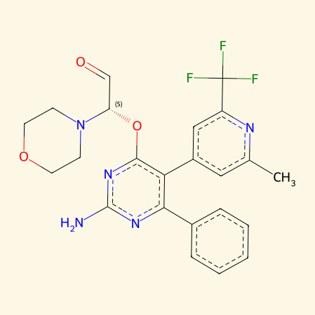 Cc1cc(-c2c(O[C@@H](C=O)N3CCOCC3)nc(N)nc2-c2ccccc2)cc(C(F)(F)F)n1